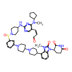 CN(c1nc(NC2CCN([S+]([O-])c3cccc(N4CCC(N5CCC(c6cccc7c6n(C)c(=O)n7C6CCC(=O)NC6=O)CC5)CC4)c3)CC2)ncc1/C=C\C=O)C1CCCC1